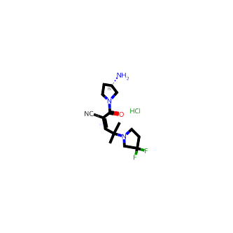 CC(C)(/C=C(/C#N)C(=O)N1CC[C@H](N)C1)N1CCC(F)(F)C1.Cl